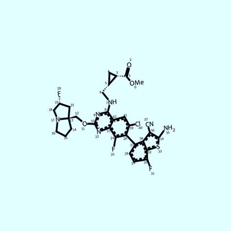 COC(=O)[C@H]1C[C@H]1CNc1nc(OC[C@@]23CCCN2C[C@H](F)C3)nc2c(F)c(-c3ccc(F)c4sc(N)c(C#N)c34)c(Cl)cc12